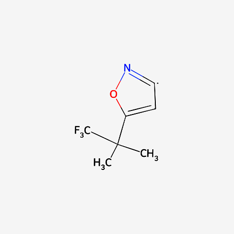 CC(C)(c1c[c]no1)C(F)(F)F